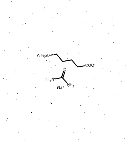 CCCCCCCCCCCC(=O)[O-].NC(N)=O.[Na+]